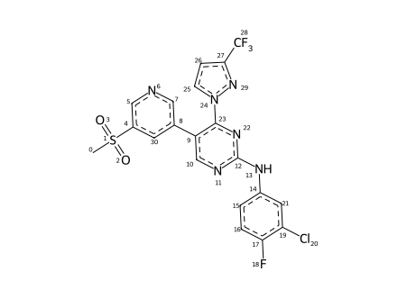 CS(=O)(=O)c1cncc(-c2cnc(Nc3ccc(F)c(Cl)c3)nc2-n2ccc(C(F)(F)F)n2)c1